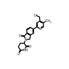 Cc1cnc(-c2ccc3c(c2)CN(C2CCC(=O)NC2=O)C3=O)cc1CCl